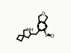 O=[S+]c1cc2c(cc1CC1CC3(CCC3)CN1)COC2